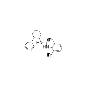 CC(C)c1cccc(C(C)C)c1NC(=O)NC1CCCCC1c1ccccc1